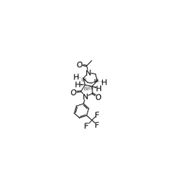 CC(=O)N1C[C@@H]2CC[C@H]1[C@H]1C(=O)N(c3cccc(C(F)(F)F)c3)C(=O)[C@@H]21